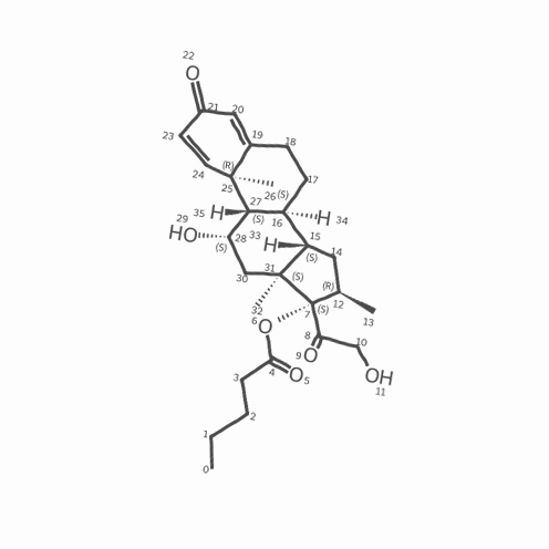 CCCCC(=O)O[C@@]1(C(=O)CO)[C@H](C)C[C@H]2[C@@H]3CCC4=CC(=O)C=C[C@]4(C)[C@H]3[C@@H](O)C[C@@]21C